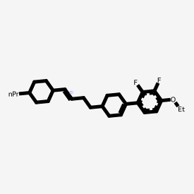 CCCC1CCC(/C=C/CCC2CC=C(c3ccc(OCC)c(F)c3F)CC2)CC1